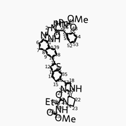 CCCN(Cc1nc2ccc3cc(-c4cc5ccc(-c6c[nH]c([C@@H]7CCCN7C(=O)C(CC)NC(=O)OC)n6)cc5s4)ccc3c2[nH]1)C(=O)[C@H](NC(=O)OC)c1ccccc1